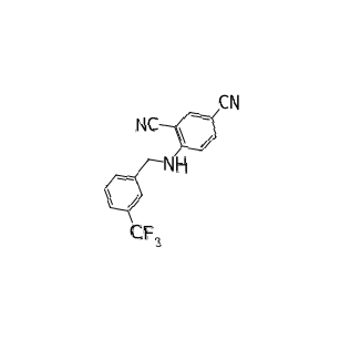 N#Cc1ccc(NCc2cccc(C(F)(F)F)c2)c(C#N)c1